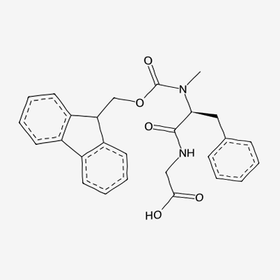 CN(C(=O)OCC1c2ccccc2-c2ccccc21)[C@@H](Cc1ccccc1)C(=O)NCC(=O)O